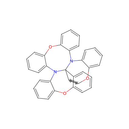 c1ccc2c(c1)Oc1ccccc1N1c3ccccc3Oc3ccccc3C13c1ccccc1Oc1ccccc1N23